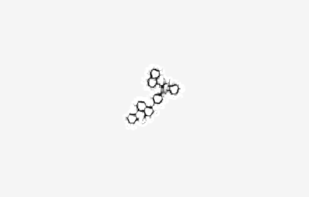 c1ccc2c(c1)Oc1ccc(-c3ccc(-n4c(-c5cccc6ccccc56)nc5ccccc54)cc3)c3cccc-2c13